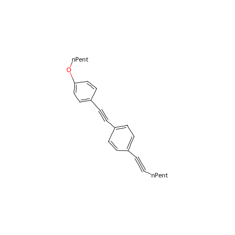 CCCCCC#Cc1ccc(C#Cc2ccc(OCCCCC)cc2)cc1